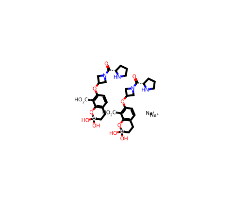 O=C(O)c1c(OC2CN(C(=O)[C@@H]3CCCN3)C2)ccc2c1O[B-](O)(O)CC2.O=C(O)c1c(OC2CN(C(=O)[C@@H]3CCCN3)C2)ccc2c1O[B-](O)(O)CC2.[Na+].[Na+]